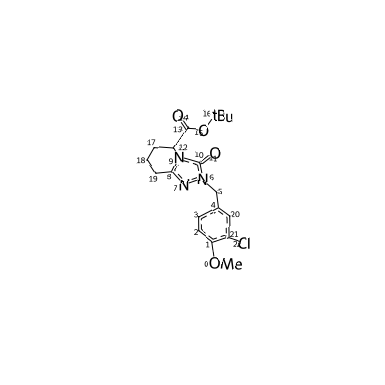 COc1ccc(Cn2nc3n(c2=O)C(C(=O)OC(C)(C)C)CCC3)cc1Cl